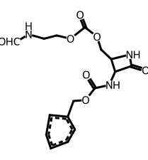 O=CNCCOC(=O)OCC1NC(=O)C1NC(=O)OCc1ccccc1